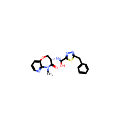 CN1C(=O)[C@@H](NC(O)c2nnc(Cc3ccccc3)s2)COc2cccnc21